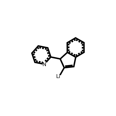 [Li][C]1=Cc2ccccc2C1c1ccccn1